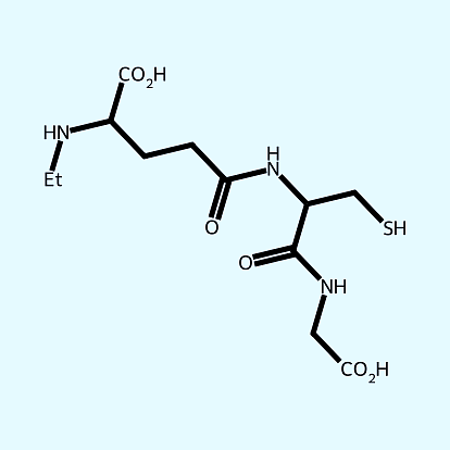 CCNC(CCC(=O)NC(CS)C(=O)NCC(=O)O)C(=O)O